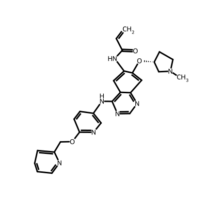 C=CC(=O)Nc1cc2c(Nc3ccc(OCc4ccccn4)nc3)ncnc2cc1O[C@@H]1CCN(C)C1